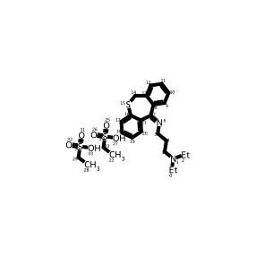 CCN(CC)CCCN=C1c2ccccc2CSc2ccccc21.CCS(=O)(=O)O.CCS(=O)(=O)O